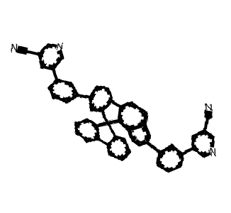 N#Cc1cncc(-c2cccc(-c3ccc4c(c3)C3(c5ccccc5-c5ccccc53)c3c-4ccc4cc(-c5cccc(-c6cncc(C#N)c6)c5)ccc34)c2)c1